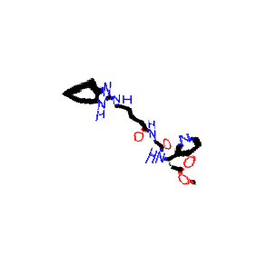 COC(=O)C[C@H](NC(=O)CNC(=O)CCCCNc1nc2ccccc2[nH]1)c1cccnc1